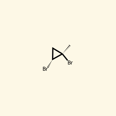 C[C@@]1(Br)C[C@H]1Br